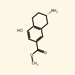 COC(=O)c1ccc2c(c1)C[C@@H](N)CC2.Cl